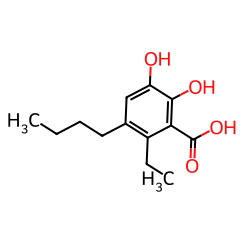 CCCCc1cc(O)c(O)c(C(=O)O)c1CC